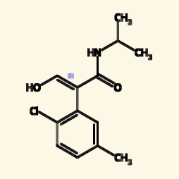 Cc1ccc(Cl)c(/C(=C\O)C(=O)NC(C)C)c1